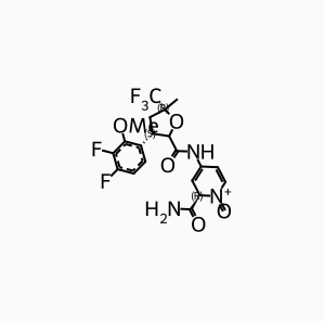 COc1c([C@@H]2C[C@](C)(C(F)(F)F)OC2C(=O)NC2=C[C@H](C(N)=O)[N+](=O)C=C2)ccc(F)c1F